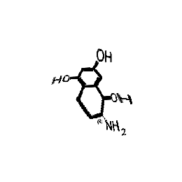 N[C@@H]1CCc2c(O)cc(O)cc2C1O